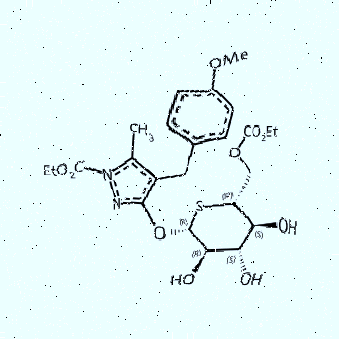 CCOC(=O)OC[C@H]1S[C@@H](Oc2nn(C(=O)OCC)c(C)c2Cc2ccc(OC)cc2)[C@H](O)[C@@H](O)[C@@H]1O